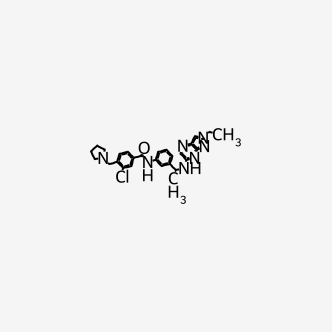 CCn1cc2ncc(N[C@@H](C)c3cccc(NC(=O)c4ccc(CN5CCCC5)c(Cl)c4)c3)nc2n1